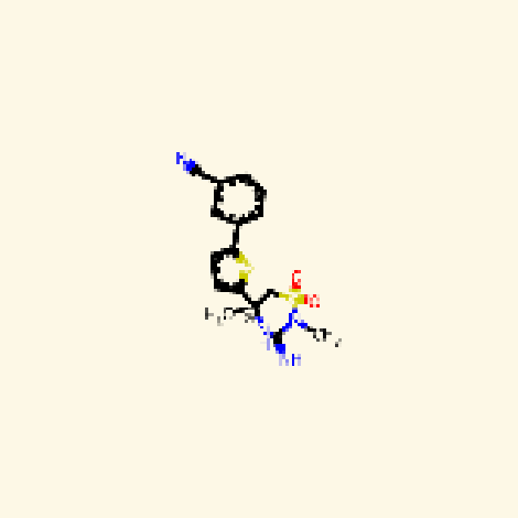 CN1C(=N)N[C@](C)(c2ccc(-c3cccc(C#N)c3)s2)CS1(=O)=O